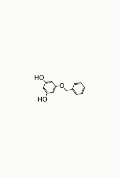 Oc1cc(O)cc(OCc2ccccc2)c1